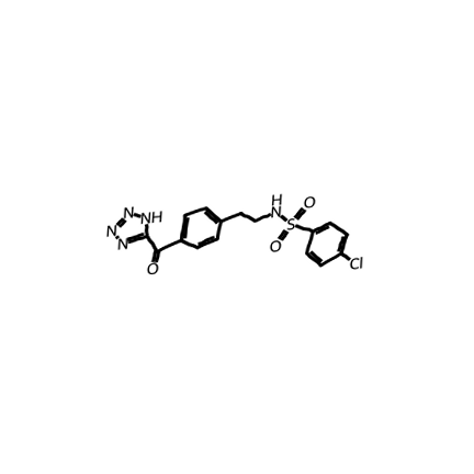 O=C(c1ccc(CCNS(=O)(=O)c2ccc(Cl)cc2)cc1)c1nnn[nH]1